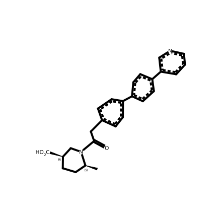 C[C@H]1CC[C@@H](C(=O)O)CN1C(=O)Cc1ccc(-c2ccc(-c3cccnc3)cc2)cc1